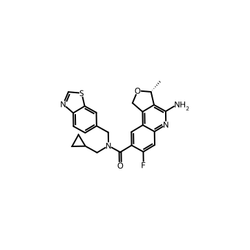 C[C@H]1OCc2c1c(N)nc1cc(F)c(C(=O)N(Cc3ccc4ncsc4c3)CC3CC3)cc21